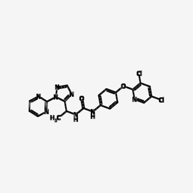 CC(NC(=O)Nc1ccc(Oc2ncc(Cl)cc2Cl)cc1)c1ncnn1-c1ncccn1